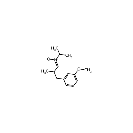 COc1cccc(CC(C)C=[N+]([O-])C(C)C)c1